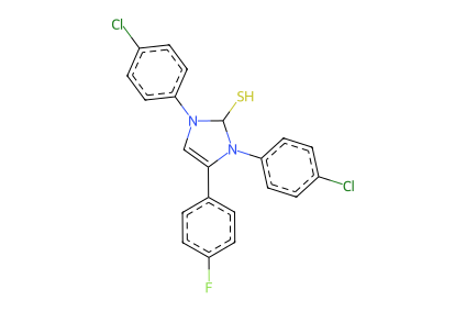 Fc1ccc(C2=CN(c3ccc(Cl)cc3)C(S)N2c2ccc(Cl)cc2)cc1